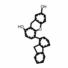 Oc1ccc2c(c1)Cc1c(O)ccc(-c3cccc4c3Cc3ccccc3-4)c1O2